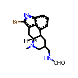 CN1CC(CNC=O)CC2c3cccc4[nH]c(Br)c(c34)C[C@H]21